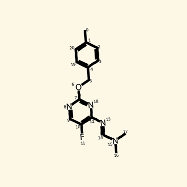 Cc1ccc(COc2ncc(F)c(/N=C/N(C)C)n2)cc1